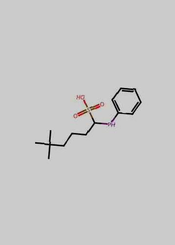 CC(C)(C)CCCC(Pc1ccccc1)S(=O)(=O)O